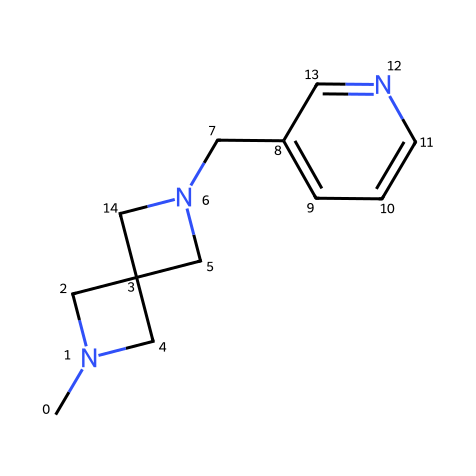 CN1CC2(C1)CN(Cc1cccnc1)C2